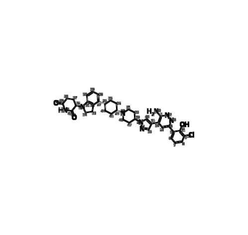 Nc1nnc(-c2cccc(Cl)c2O)cc1-c1cnn(C2CCN([C@H]3CC[C@@H](c4cccc5c4CCN5[C@@H]4CCC(=O)NC4=O)CC3)CC2)c1